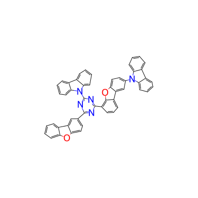 c1ccc2c(c1)oc1ccc(-c3nc(-c4cccc5c4oc4ccc(-n6c7ccccc7c7ccccc76)cc45)nc(-n4c5ccccc5c5ccccc54)n3)cc12